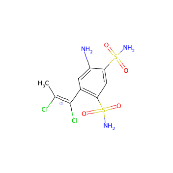 C/C(Cl)=C(/Cl)c1cc(N)c(S(N)(=O)=O)cc1S(N)(=O)=O